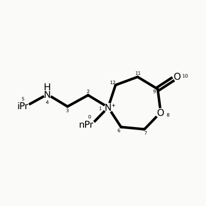 CCC[N+]1(CCNC(C)C)CCOC(=O)CC1